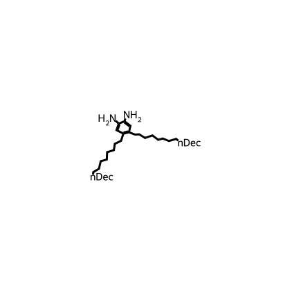 CCCCCCCCCCCCCCCCCCc1cc(N)c(N)cc1CCCCCCCCCCCCCCCCCC